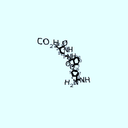 N=C(N)c1ccc(Oc2ccccc2C(=O)NC[C@@H]2C[C@@H](CC(=O)O)C(=O)N2)cc1